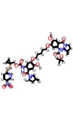 C=C1CCN(C(=O)c2cc(OC)c(OCCCCCOc3cc(NC(=O)OCC4(SSc5ccc([N+](=O)[O-])cn5)CC4)c(C(=O)N4CC(=C)C[C@H]4C)cc3OC)cc2NC(=O)OC(C)(C)C)C1